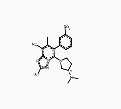 Cc1c(-c2cccc([N+](=O)[O-])c2)c(N2CC[C@H](N(C)C)C2)n2nc(C(C)(C)C)nc2c1C#N